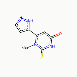 CCCCn1c(-c2ccn[nH]2)cc(=O)[nH]c1=S